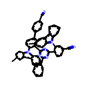 Cc1ccc2c(c1)c1ccccc1n2-c1ccc(-c2ccc(C#N)cc2)cc1-c1nc(-c2ccccc2)nc(-c2ccc(C#N)cc2-n2c3ccccc3c3cc(C)ccc32)n1